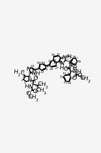 C=C1CCN(C(=O)[C@@H](NC(=O)OC)C(C)C)[C@@H]1c1ncc(-c2ccc(-c3ccc4c(ccc5nc([C@@H]6[C@H]7CC[C@H](C7)N6C(=O)[C@H](NC(=O)OC)c6ccccc6)[nH]c54)c3)cc2)[nH]1